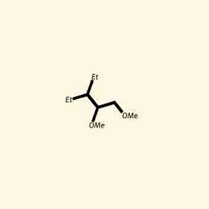 CCC(CC)C(COC)OC